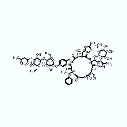 CC(C)CC(=O)O[C@@H]1[C@H](O)[C@@H](O[C@H]2[C@H](O)[C@H](O)[C@@H](Oc3ccc(C[C@H]4NC(=O)[C@H]([C@@H](C)c5ccccc5)N=C([O-])CN=C(O)[C@H](CO)NC(=O)[C@@H]([C@H](O)[C@@H]5CNC(N)=[N+]5[C@H]5O[C@H](CO)[C@@H](O)[C@H](O)[C@@H]5O)NC(=O)[C@H]([C@H](O)[C@@H]5CN=C(N)N5)NC4=O)cc3)O[C@@H]2CO)O[C@H](CO)[C@H]1O